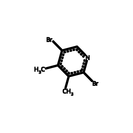 Cc1c(Br)cnc(Br)c1C